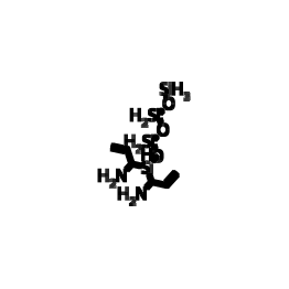 C=CC(N)[SiH](O[SiH2]O[SiH2]O[SiH3])C(N)C=C